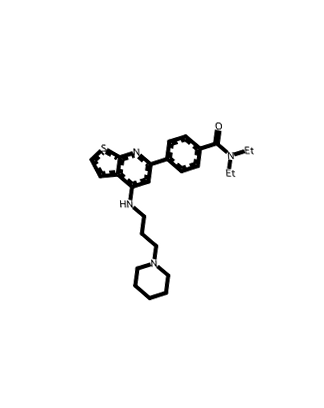 CCN(CC)C(=O)c1ccc(-c2cc(NCCCN3CCCCC3)c3ccsc3n2)cc1